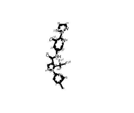 Cc1ccc(-n2ncc(C(=O)Nc3cnc(-n4nccn4)c(Cl)c3)c2C(F)(F)F)nc1